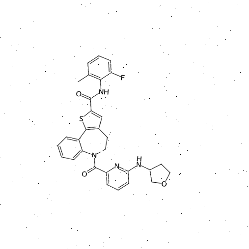 Cc1cccc(F)c1NC(=O)c1cc2c(s1)-c1ccccc1N(C(=O)c1cccc(NC3CCOC3)n1)CC2